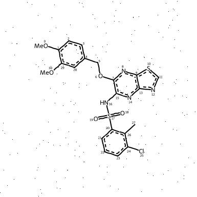 COc1ccc(COc2nc3scnc3nc2NS(=O)(=O)c2cccc(Cl)c2C)cc1OC